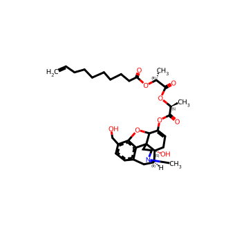 C=CCCCCCCCC(=O)O[C@H](C)C(=O)O[C@@H](C)C(=O)OC1=CC[C@@]2(O)[C@H]3Cc4ccc(CO)c5c4C2(CCN3C)C1O5